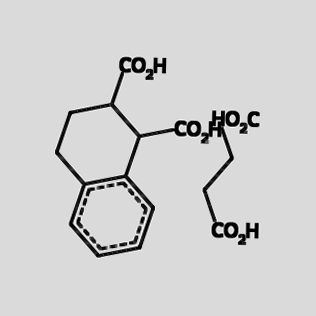 O=C(O)C1CCc2ccccc2C1C(=O)O.O=C(O)CCC(=O)O